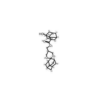 O=C(OCC1COC2(OC1)C1CC3CC(C1)CC2C3)C12CC3CC(CC(O)(C3)C1)C2